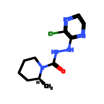 C[C@H]1CCCCN1C(=O)NNc1nccnc1Cl